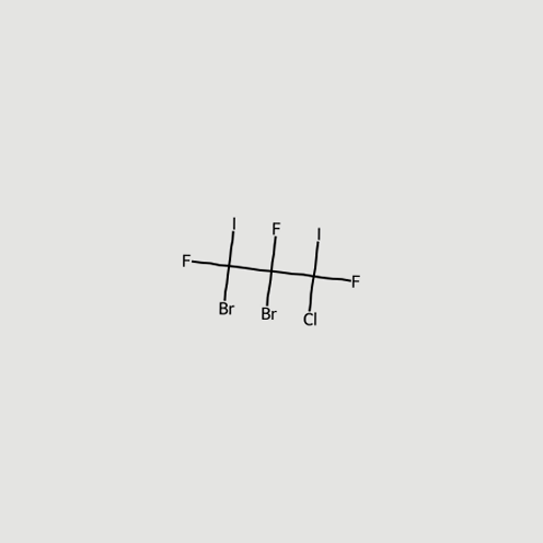 FC(Cl)(I)C(F)(Br)C(F)(Br)I